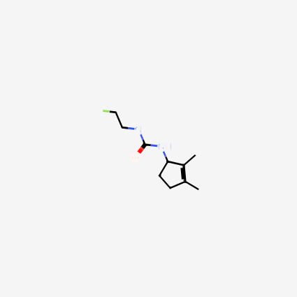 CC1=C(C)C(NC(=O)NCCF)CC1